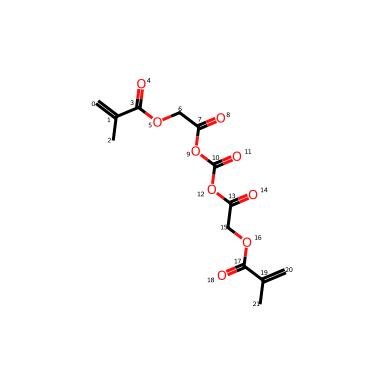 C=C(C)C(=O)OCC(=O)OC(=O)OC(=O)COC(=O)C(=C)C